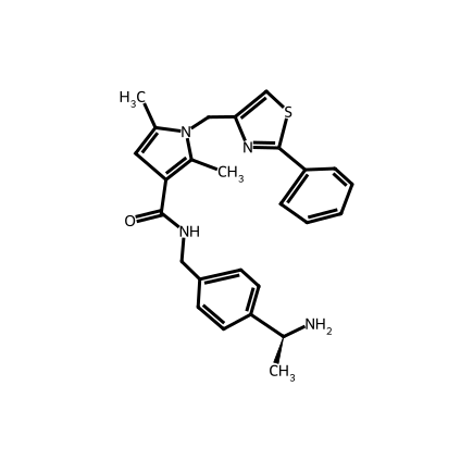 Cc1cc(C(=O)NCc2ccc([C@H](C)N)cc2)c(C)n1Cc1csc(-c2ccccc2)n1